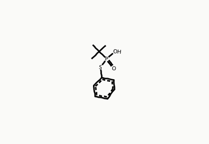 CC(C)(C)P(=O)(O)Sc1ccccc1